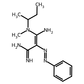 CCC(C)N(C)/C(N)=C(/N=N/c1ccccc1)C(=N)N